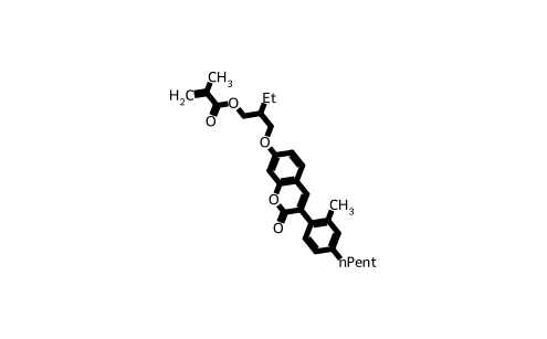 C=C(C)C(=O)OCC(CC)COc1ccc2cc(-c3ccc(CCCCC)cc3C)c(=O)oc2c1